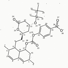 CC1C=C2C=CC(C)C(CC[C@@H]3C[C@@H](O[Si](C)(C)C(C)(C)C)CC(=O)O3)C2C(OC(=O)Oc2ccc([N+](=O)[O-])cc2)C1